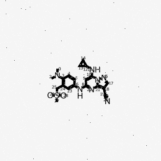 CN(C)c1ccc(Nc2cc(NC3CC3)n3ncc(C#N)c3n2)cc1CS(C)(=O)=O